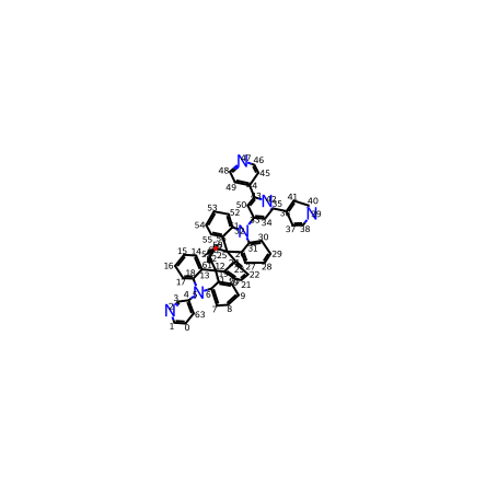 c1cncc(N2c3ccccc3C3(c4ccccc42)c2ccccc2C2(c4ccccc4N(c4cc(-c5ccncc5)nc(-c5ccncc5)c4)c4ccccc42)c2ccccc23)c1